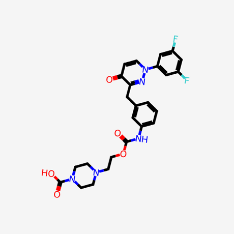 O=C(Nc1cccc(Cc2nn(-c3cc(F)cc(F)c3)ccc2=O)c1)OCCN1CCN(C(=O)O)CC1